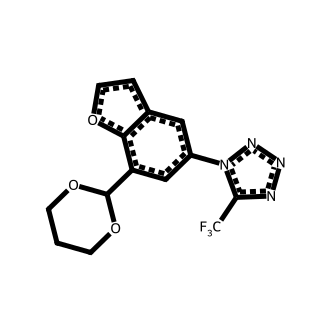 FC(F)(F)c1nnnn1-c1cc(C2OCCCO2)c2occc2c1